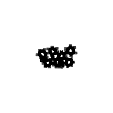 CC1(C)c2ccccc2-c2c(-c3ccccc3)nc(-c3ccccc3-n3c4ccccc4c4ccc5oc6ccccc6c5c43)nc21